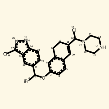 CC(C)C(Oc1ccc2c(c1)CCC(C(Cl)N1CCNCC1)=C2)c1ccc2[nH]nc(Cl)c2c1